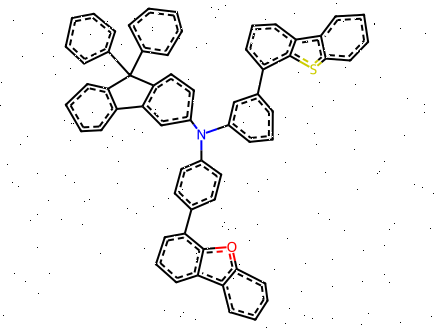 c1ccc(C2(c3ccccc3)c3ccccc3-c3cc(N(c4ccc(-c5cccc6c5oc5ccccc56)cc4)c4cccc(-c5cccc6c5sc5ccccc56)c4)ccc32)cc1